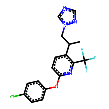 CC(Cn1cncn1)c1ccc(Oc2ccc(Cl)cc2)nc1C(F)(F)F